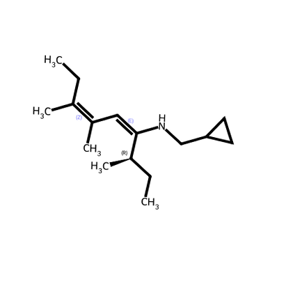 CC/C(C)=C(C)\C=C(\NCC1CC1)[C@H](C)CC